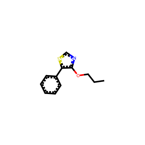 CCCOc1n[c]sc1-c1ccccc1